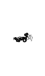 C=C/C(=C\C(=C)c1ccccccc(C(=C)/C=C2\C(=C)C(C)(C)c3c2ccc2ccc4c5ccccc5sc4c32)c2ccccc12)c1cccc2ccccc12